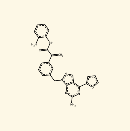 C=C(C(=O)Nc1ccccc1N)c1cccc(Cn2ncc3c(-c4ccco4)nc(N)nc32)c1